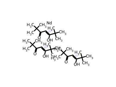 CC(C)(C)C(=O)/C=C(\O)C(C)(C)C.CC(C)(C)C(=O)/C=C(\O)C(C)(C)C.CC(C)(C)C(=O)/C=C(\O)C(C)(C)C.[Nd]